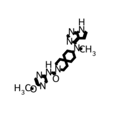 COc1cnc(NC(=O)N2CCC3(CCC(N(C)c4ncnc5[nH]ccc45)CC3)CC2)cn1